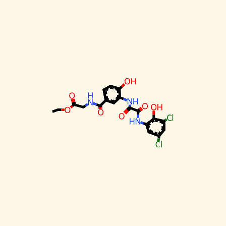 CCOC(=O)CNC(=O)c1ccc(O)c(NC(=O)C(=O)Nc2cc(Cl)cc(Cl)c2O)c1